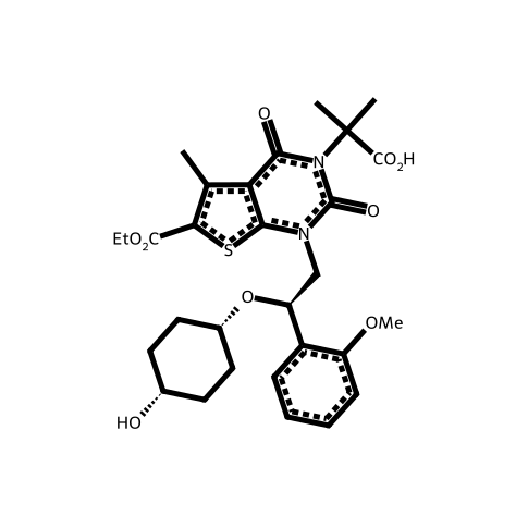 CCOC(=O)c1sc2c(c1C)c(=O)n(C(C)(C)C(=O)O)c(=O)n2C[C@H](O[C@H]1CC[C@@H](O)CC1)c1ccccc1OC